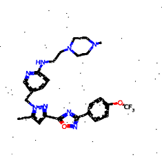 Cc1cc(-c2nc(-c3ccc(OC(F)(F)F)cc3)no2)nn1Cc1ccc(NCCN2CCN(C)CC2)nc1